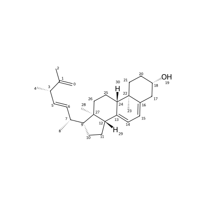 C=C(C)[C@@H](C)/C=C/[C@@H](C)[C@H]1CC[C@H]2C3=CC=C4C[C@@H](O)CC[C@]4(C)[C@H]3CC[C@]12C